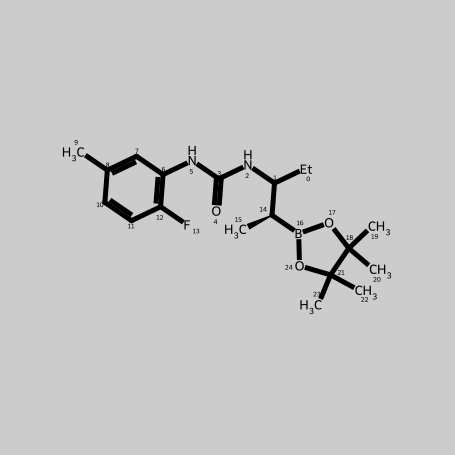 CCC(NC(=O)Nc1cc(C)ccc1F)[C@H](C)B1OC(C)(C)C(C)(C)O1